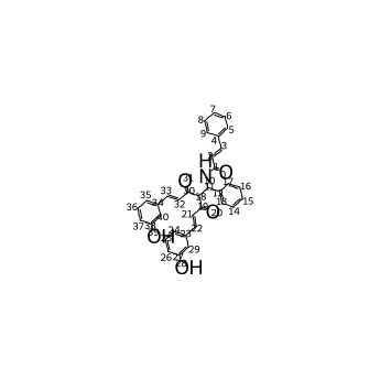 O=C(/C=C/c1ccccc1)NC(c1ccccc1)C(C(=O)/C=C/c1cccc(O)c1)C(=O)/C=C/c1cccc(O)c1